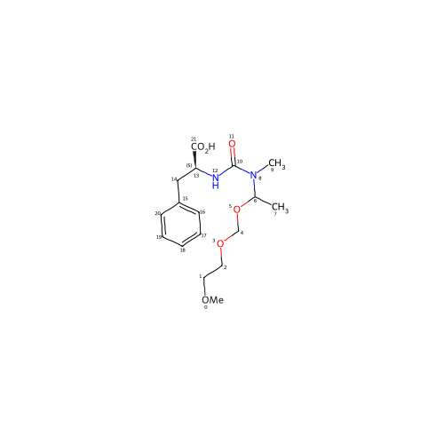 COCCOCOC(C)N(C)C(=O)N[C@@H](Cc1ccccc1)C(=O)O